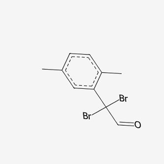 Cc1ccc(C)c(C(Br)(Br)C=O)c1